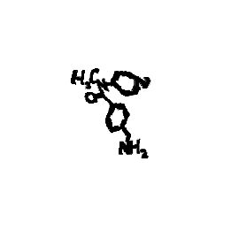 CN(C(=O)c1ccc(CN)cc1)c1ccncc1